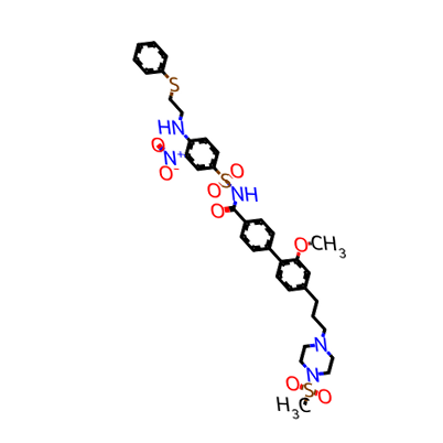 COc1cc(CCCN2CCN(S(C)(=O)=O)CC2)ccc1-c1ccc(C(=O)NS(=O)(=O)c2ccc(NCCSc3ccccc3)c([N+](=O)[O-])c2)cc1